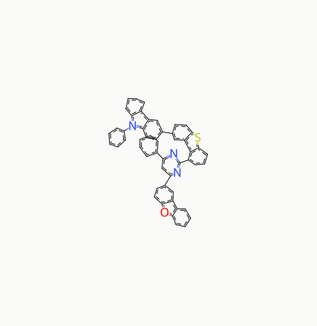 c1ccc(-c2cc(-c3ccc4oc5ccccc5c4c3)nc(-c3cccc4sc5ccc(-c6ccc7c(c6)c6ccccc6n7-c6ccccc6)cc5c34)n2)cc1